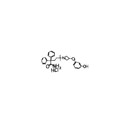 CC(C)(CCC(C(N)=O)(c1ccccc1)c1ccccc1)N1CC(Oc2cccc(O)c2)C1.Cl